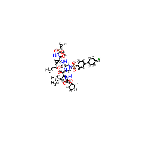 C=C[C@@H]1C[C@]1(NC(=O)[C@@H]1CN(S(=O)(=O)c2ccc(-c3ccc(F)cc3)cc2)CN1C(=O)[C@@H](NC(=O)OC1CCCC1)C(C)(C)C)C(=O)NS(=O)(=O)C1CC1